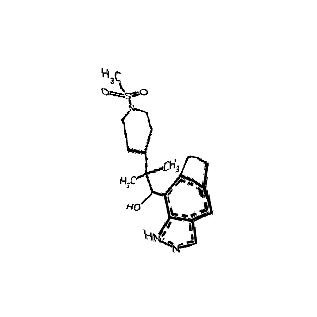 CC(C)(C1CCN(S(C)(=O)=O)CC1)C(O)c1c2c(cc3cn[nH]c13)CC2